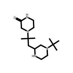 CC(C)(C)N1CCNC(CC(C)(C)N2CCNC(=O)C2)C1